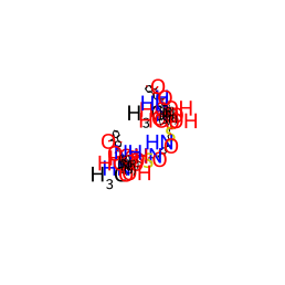 CC(=O)N[C@H]1[C@H]([C@H](O)[C@H](O)CNC(=O)c2ccc3c(c2)C(=O)c2ccccc2-3)O[C@@](OCCCSCCNC(=O)c2ccc(C(=O)NCCSCCCO[C@]3(C(=O)O)C[C@H](O)[C@@H](NC(C)=O)[C@H]([C@H](O)[C@H](O)CNC(=O)c4ccc5c(c4)C(=O)c4ccccc4-5)O3)cc2)(C(=O)O)C[C@@H]1O